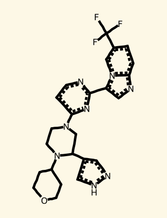 FC(F)(F)c1ccc2ncc(-c3nccc(N4CCN(C5CCOCC5)C(c5cn[nH]c5)C4)n3)n2c1